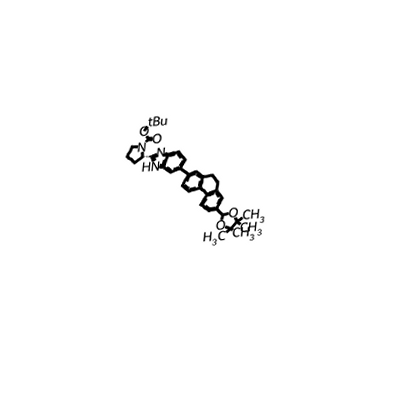 CC(C)(C)OC(=O)N1CCC[C@H]1c1nc2ccc(-c3ccc4c(c3)CCc3cc(C5OC(C)(C)C(C)(C)O5)ccc3-4)cc2[nH]1